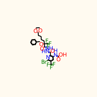 O=C(O)Nc1cc(C(F)(F)F)c(Br)nc1C(=O)NNC(=O)C(CCCCC1OCCO1)(OCc1ccccc1)C(F)(F)F